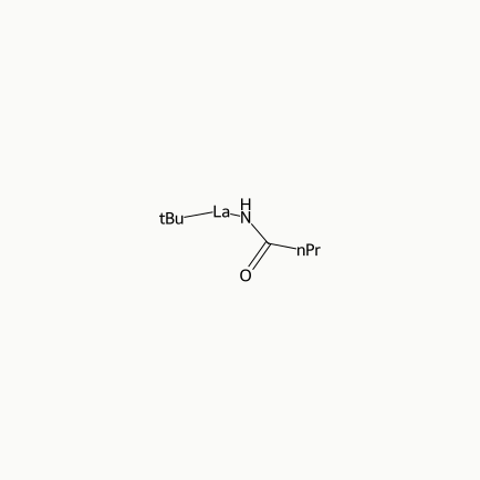 CCCC(=O)[NH][La][C](C)(C)C